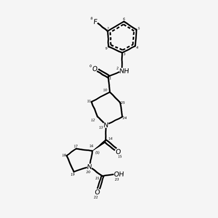 O=C(Nc1cccc(F)c1)C1CCN(C(=O)[C@@H]2CCCN2C(=O)O)CC1